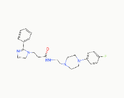 O=C(CCn1ccnc1-c1ccccc1)NCCN1CCN(c2ccc(F)cc2)CC1